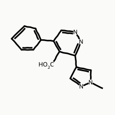 Cn1cc(-c2nncc(-c3ccccc3)c2C(=O)O)cn1